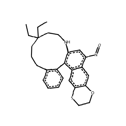 CCC1(CC)CCCc2ccccc2-c2c(cc(N=O)c3cc4c(cc23)SCCO4)NCC1